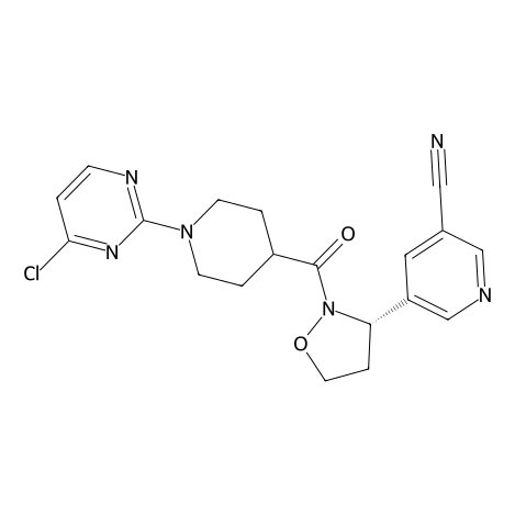 N#Cc1cncc([C@@H]2CCON2C(=O)C2CCN(c3nccc(Cl)n3)CC2)c1